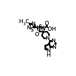 Cc1nsc(NC(=O)C2(N(C)C(=O)O)CCN(c3ncnc4[nH]ccc34)CC2)n1